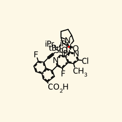 Cc1c(Cl)nc(N2CC3CCC(C2)N3C(=O)OC(C)(C)C)c2cnc(-c3cc(C(=O)O)cc4ccc(F)c(C#C[Si](C(C)C)(C(C)C)C(C)C)c34)c(F)c12